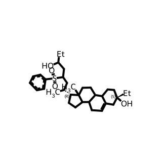 CCC(O)CC(CC(C)[C@H]1CCC2C3CC=C4C[C@](O)(CC)CCC4C3CCC21C)S(=O)(=O)c1ccccc1